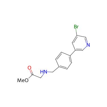 COC(=O)CNCc1ccc(-c2cncc(Br)c2)cc1